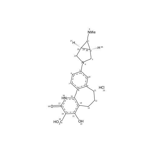 CNC1[C@H]2CN(c3ccc4c(c3)CCCc3c-4[nH]c(=O)c(C(=O)O)c3O)C[C@@H]12.Cl